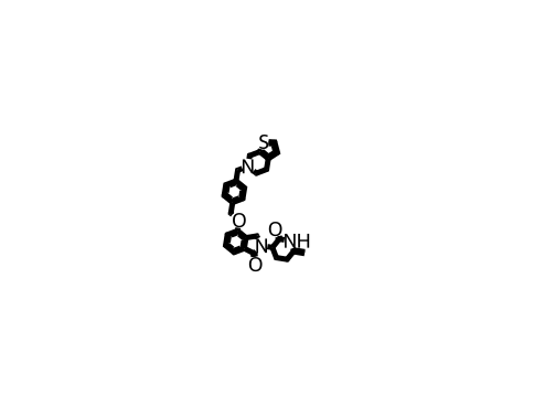 C=C1CCC(N2Cc3c(OCc4ccc(CN5CCc6ccsc6C5)cc4)cccc3C2=O)C(=O)N1